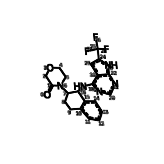 O=C1COCCN1C1CCc2ccccc2C1Nc1ncnc2[nH]c(C(F)(F)F)cc12